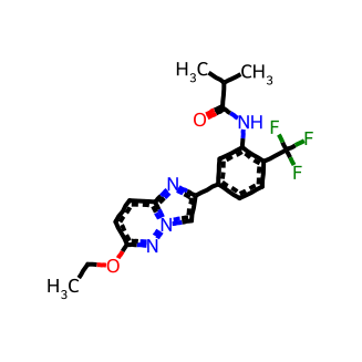 CCOc1ccc2nc(-c3ccc(C(F)(F)F)c(NC(=O)C(C)C)c3)cn2n1